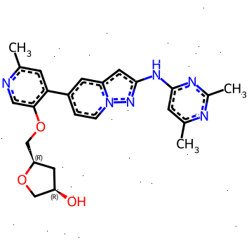 Cc1cc(-c2ccn3nc(Nc4cc(C)nc(C)n4)cc3c2)c(OC[C@H]2C[C@@H](O)CO2)cn1